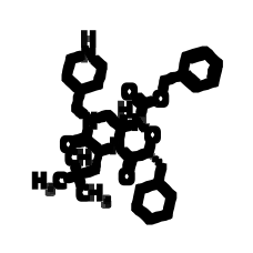 CC(C)(C)C[C@H]1C(=O)N(CC2CCNCC2)C[C@@H]2N(C(=O)OCc3ccccc3)O[C@H](CC3CCCCC3)C(=O)N21